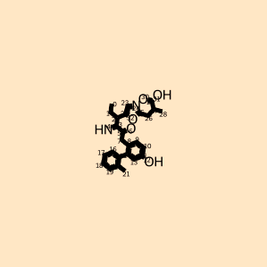 CCC(C(=N)C(=O)Cc1ccc(O)cc1-c1ccccc1C)c1cnc(CC(C)C(=O)O)o1